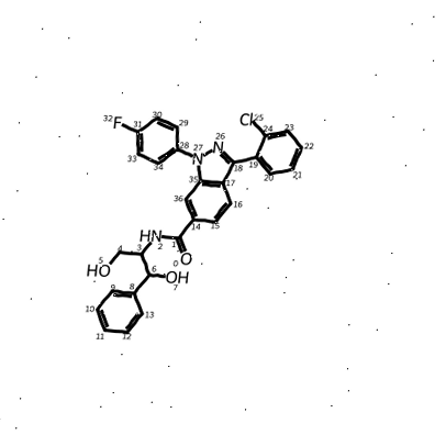 O=C(NC(CO)C(O)c1ccccc1)c1ccc2c(-c3ccccc3Cl)nn(-c3ccc(F)cc3)c2c1